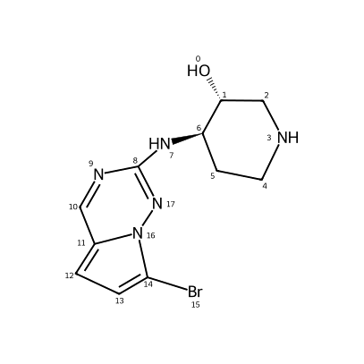 O[C@@H]1CNCC[C@H]1Nc1ncc2ccc(Br)n2n1